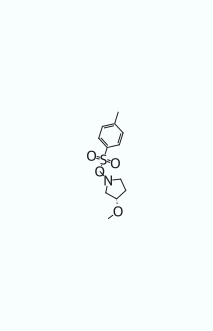 CO[C@H]1CCN(OS(=O)(=O)c2ccc(C)cc2)C1